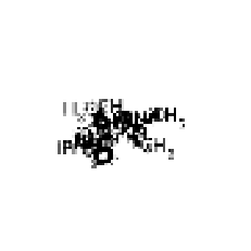 C=CCC[C@@H](NC(=O)[C@@H]1C2C(CN1C(=O)[C@@H](NC(=O)N(C(C)C)C(C)C)C1CCCCC1)C2(C)C)C(=O)C(=O)NCC=C